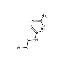 NC(=O)/C=C\C(=O)NCCO